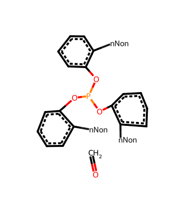 C=O.CCCCCCCCCc1ccccc1OP(Oc1ccccc1CCCCCCCCC)Oc1ccccc1CCCCCCCCC